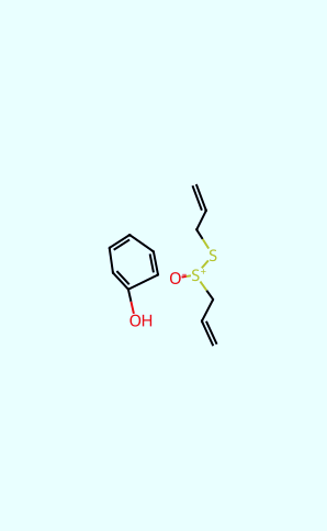 C=CCS[S+]([O-])CC=C.Oc1ccccc1